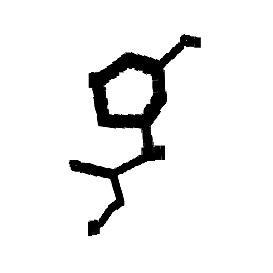 CC(C)CC(=O)Nc1cncc(O)c1